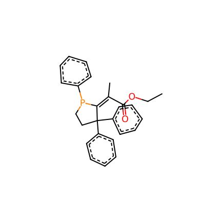 CCOC(=O)/C(C)=C1/P(c2ccccc2)CCC1(c1ccccc1)c1ccccc1